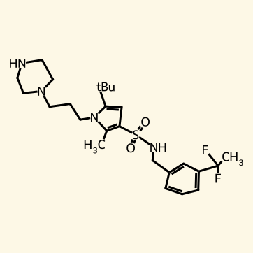 Cc1c(S(=O)(=O)NCc2cccc(C(C)(F)F)c2)cc(C(C)(C)C)n1CCCN1CCNCC1